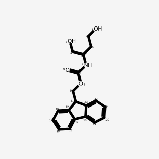 O=C(NC(CO)CCO)OCC1c2ccccc2-c2ccccc21